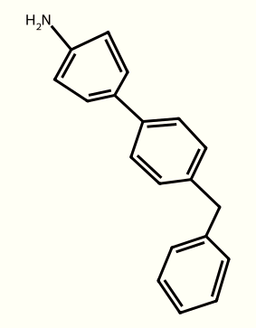 Nc1ccc(-c2ccc(Cc3ccccc3)cc2)cc1